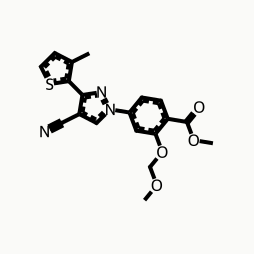 COCOc1cc(-n2cc(C#N)c(-c3sccc3C)n2)ccc1C(=O)OC